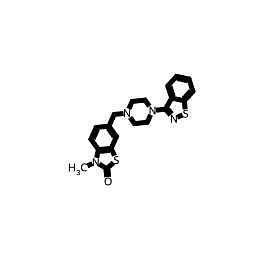 Cn1c(=O)sc2cc(CN3CCN(c4nsc5ccccc45)CC3)ccc21